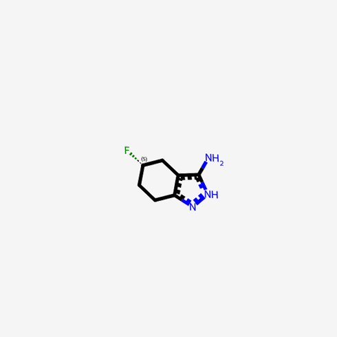 Nc1[nH]nc2c1C[C@@H](F)CC2